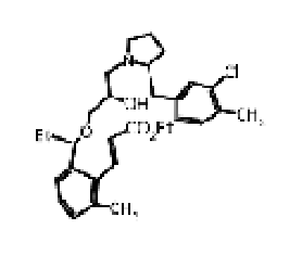 CCOC(=O)/C=C/c1c(C)cccc1[C@@H](CC)OC[C@H](O)CN1CCC[C@H]1Cc1ccc(C)c(Cl)c1